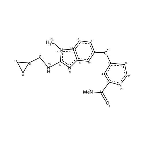 CNC(=O)c1cc(Oc2ccc3c(c2)nc(NCC2CC2)n3C)ccn1